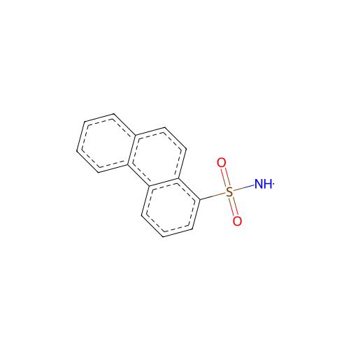 [NH]S(=O)(=O)c1cccc2c1ccc1ccccc12